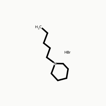 Br.CCCCCN1CCCCC1